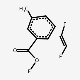 Cc1cccc(C(=O)OF)c1.FC=CF